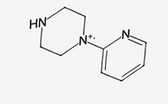 c1ccc([N+]2CCNCC2)nc1